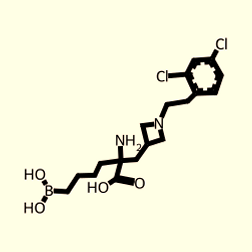 NC(CCCCB(O)O)(CC1CN(CCc2ccc(Cl)cc2Cl)C1)C(=O)O